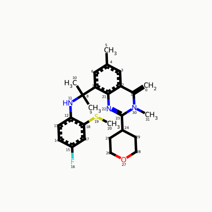 C=C1c2cc(C)cc(C(C)(C)Nc3ccc(F)cc3SC)c2N=C(C2CCOCC2)N1C